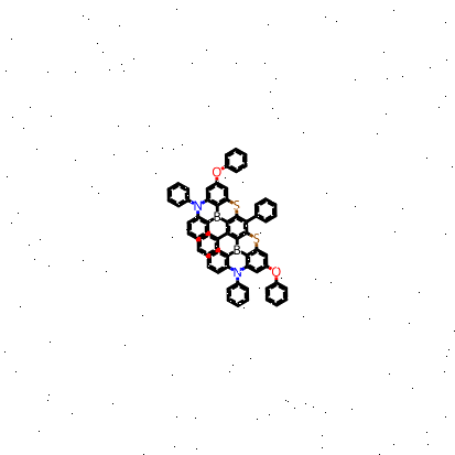 c1ccc(Oc2cc3c4c(c2)N(c2ccccc2)c2ccccc2B4c2c(c(-c4ccccc4)c4c(c2-c2ccccc2)B2c5ccccc5N(c5ccccc5)c5cc(Oc6ccccc6)cc(c52)S4)S3)cc1